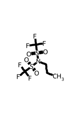 CCCN(S(=O)(=O)C(F)(F)F)S(=O)(=O)C(F)(F)F